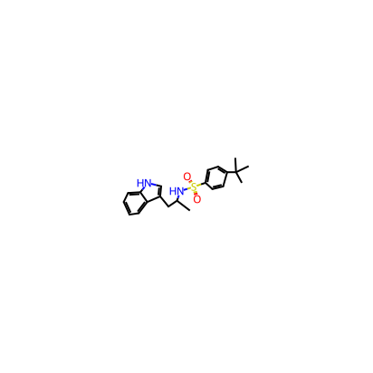 CC(Cc1c[nH]c2ccccc12)NS(=O)(=O)c1ccc(C(C)(C)C)cc1